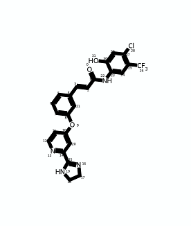 O=C(C=Cc1cccc(Oc2ccnc(C3=NCCN3)c2)c1)Nc1cc(C(F)(F)F)c(Cl)cc1O